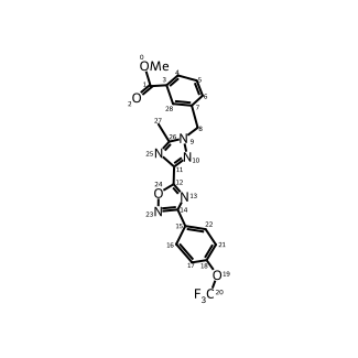 COC(=O)c1cccc(Cn2nc(-c3nc(-c4ccc(OC(F)(F)F)cc4)no3)nc2C)c1